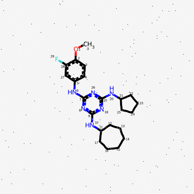 COc1ccc(Nc2nc(NC3CCCCCC3)nc(NC3CCCC3)n2)cc1F